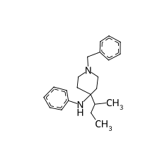 CCC(C)C1(Nc2ccccc2)CCN(Cc2ccccc2)CC1